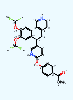 COC(=O)c1ccc(Oc2ccc(C(Cc3ccncc3)c3ccc(OC(F)F)c(OC(F)F)c3)cn2)cc1